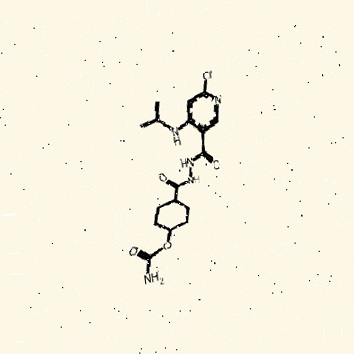 CC(C)Nc1cc(Cl)ncc1C(=O)NNC(=O)C1CCC(OC(N)=O)CC1